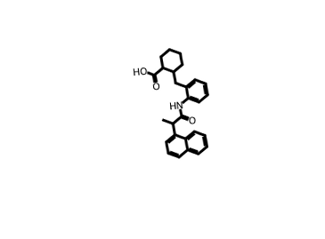 CC(C(=O)Nc1ccccc1CC1CCCCC1C(=O)O)c1cccc2ccccc12